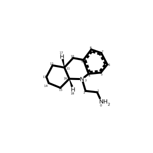 NCCN1c2ccccc2C[C@H]2CCCC[C@H]21